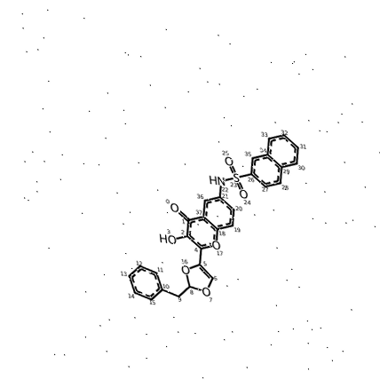 O=c1c(O)c(C2=COC(Cc3ccccc3)O2)oc2ccc(NS(=O)(=O)c3ccc4ccccc4c3)cc12